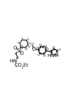 CCOC(=O)NCCS(=O)(=O)N1CCC[C@H](COc2ccc(-c3ccn[nH]3)nc2)C1